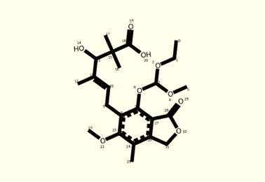 CCOC(OC)Oc1c(C/C=C(\C)C(O)C(C)(C)C(=O)O)c(OC)c(C)c2c1C(=O)OC2